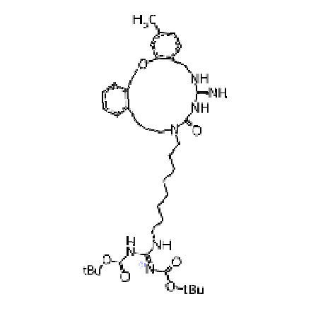 Cc1ccc2c(c1)OCc1ccccc1CCCN(CCCCCCCCN/C(=N\C(=O)OC(C)(C)C)NC(=O)OC(C)(C)C)C(=O)NC(=N)NC2